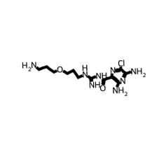 N=C(NCCCOCCCN)NC(=O)c1nc(Cl)c(N)nc1N